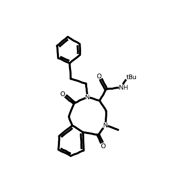 CN1CC(C(=O)NC(C)(C)C)N(CCc2ccccc2)C(=O)Cc2ccccc2C1=O